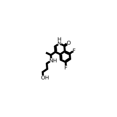 CC(NCCCO)c1c[nH]c(=O)c2c(F)cc(F)cc12